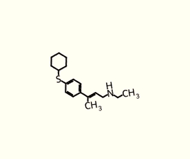 CCNCC=C(C)c1ccc(SC2CCCCC2)cc1